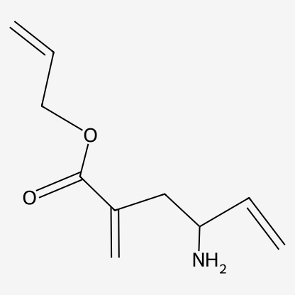 C=CCOC(=O)C(=C)CC(N)C=C